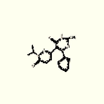 CC(C)n1nc(-c2c(-c3ccccc3)nc(N)[nH]c2=S)ccc1=O